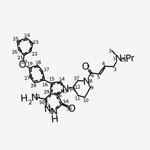 CC(C)N(C)CC=CC(=O)N1CCC[C@@H](n2cc(-c3ccc(Oc4ccccc4)cc3)c3c(N)n[nH]c(=O)c32)C1